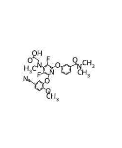 COc1ccc(C#N)cc1Oc1nc(Oc2cccc(C(=O)N(C)C)c2)c(F)c(N(C)CC(=O)O)c1F